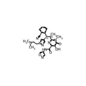 C[C@@H](c1nc(C(=O)Nc2cnoc2)c(O)c(=O)n1C)[C@@H](c1cnn(CCN(C)C)c1)c1ccccc1C#N